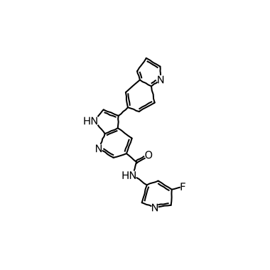 O=C(Nc1cncc(F)c1)c1cnc2[nH]cc(-c3ccc4ncccc4c3)c2c1